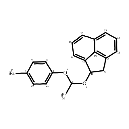 CCC(C)c1ccc(OC(OC2Cc3cccc4cccc2c34)C(C)C)cc1